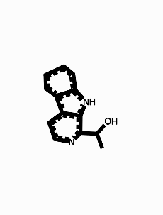 CC(O)c1nccc2c1[nH]c1ccccc12